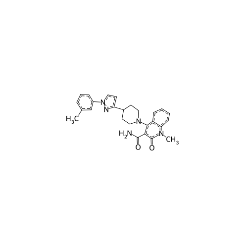 Cc1cccc(-n2ccc(C3CCN(c4c(C(N)=O)c(=O)n(C)c5ccccc45)CC3)n2)c1